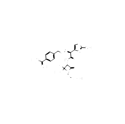 CC1(C)[C@H](NC(=O)/C(=N\OCc2ccc(C(=N)N)cc2)c2csc(N)n2)C(=O)N1OS(=O)(=O)O